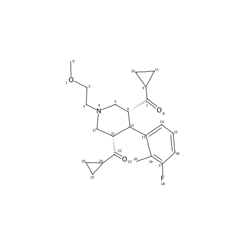 COCCN1C[C@H](C(=O)C2CC2)C(c2cccc(F)c2C)[C@H](C(=O)C2CC2)C1